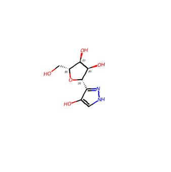 OC[C@H]1O[C@@H](c2n[nH]cc2O)[C@H](O)[C@@H]1O